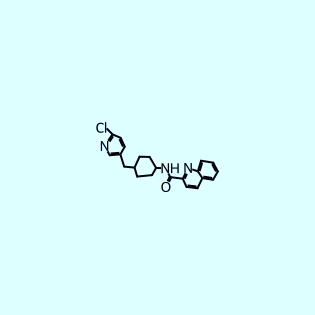 O=C(NC1CCC(Cc2ccc(Cl)nc2)CC1)c1ccc2ccccc2n1